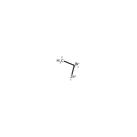 C[CH2][Zn+].[Br-]